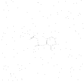 CNC(=N)NC(=N)Nc1c(Cl)cccc1Cl.Cl